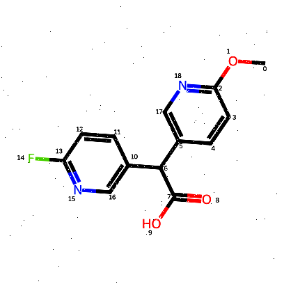 COc1ccc(C(C(=O)O)c2ccc(F)nc2)cn1